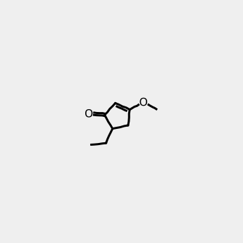 CCC1CC(OC)=CC1=O